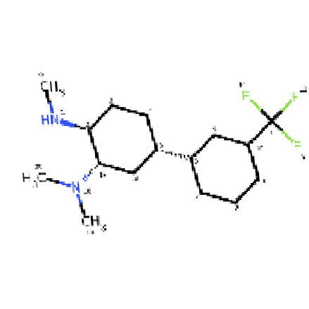 CN[C@H]1CC[C@H](C2CCCC(C(F)(F)F)C2)C[C@@H]1N(C)C